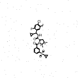 C[C@@H]1C[C@H](C(=O)NC(c2cc(F)c(Cl)cc2F)C2CC2)N(C(=O)c2cccc(S(=O)(=O)C3CC3)c2)[C@@H]1C